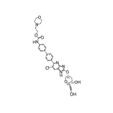 O=C(Nc1ccc(-c2ccc(-c3nc4nc(O[C@H]5CO[C@H](C#CO)[C@@H](O)C5)[nH]c4cc3Cl)cc2)cc1)OCCN1CCOCC1